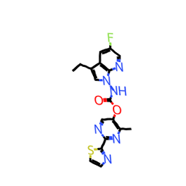 CCc1cn(NC(=O)Oc2cnc(-c3nccs3)nc2C)c2ncc(F)cc12